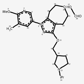 COc1ncc(-n2nc(OCC3CCN(C(C)C)C3)c3c2CCOCC3)cc1C.O=CO